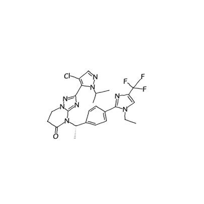 CCn1cc(C(F)(F)F)nc1-c1ccc([C@H](C)N2C(=O)CCn3nc(-c4c(Cl)cnn4C(C)C)nc32)cc1